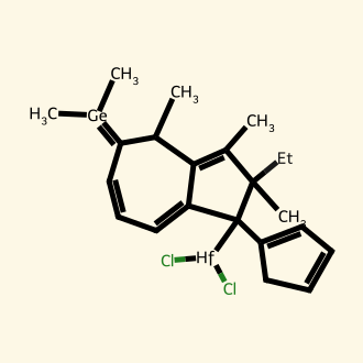 CCC1(C)C(C)=C2C(=CC=C[C](=[Ge]([CH3])[CH3])C2C)[C]1(C1=CC=CC1)[Hf]([Cl])[Cl]